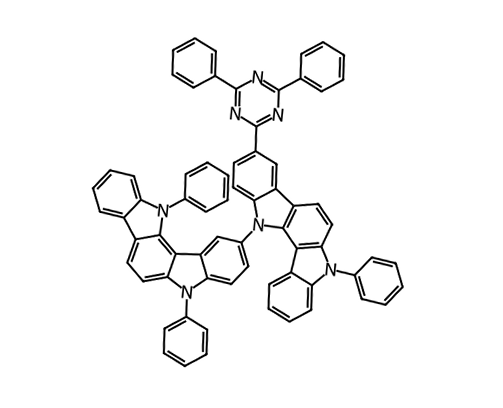 c1ccc(-c2nc(-c3ccccc3)nc(-c3ccc4c(c3)c3ccc5c(c6ccccc6n5-c5ccccc5)c3n4-c3ccc4c(c3)c3c(ccc5c6ccccc6n(-c6ccccc6)c53)n4-c3ccccc3)n2)cc1